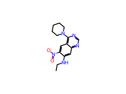 CCNc1cc2ncnc(N3CCCCC3)c2cc1[N+](=O)[O-]